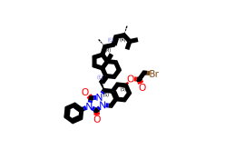 CC(C)[C@@H](C)/C=C/[C@@H](C)C1CCC2/C(=C/[C@H]3C4=C(CC[C@H](OC(=O)CBr)C4)Cn4c(=O)n(-c5ccccc5)c(=O)n43)CCCC21C